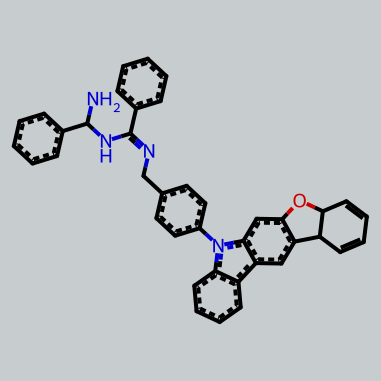 NC(N/C(=N\Cc1ccc(-n2c3ccccc3c3cc4c(cc32)OC2C=CC=CC42)cc1)c1ccccc1)c1ccccc1